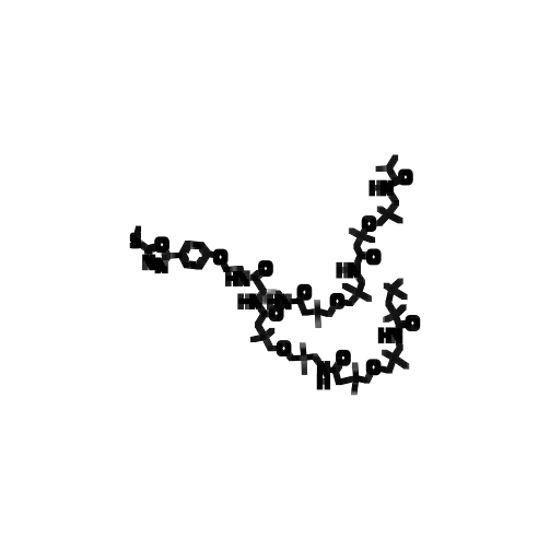 CSc1nnc(-c2ccc(OCCNC(=O)[C@H](CNC(=O)CC(C)(C)COCC(C)(C)CNC(=O)CC(C)(C)OCC(C)(C)CNC(=O)C(C)C)NC(=O)CC(C)(C)COCC(C)(C)CNC(=O)CC(C)(C)COCC(C)(C)CNC(=O)C(C)(C)CC(C)(C)C)cc2)o1